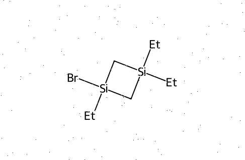 CC[Si]1(Br)C[Si](CC)(CC)C1